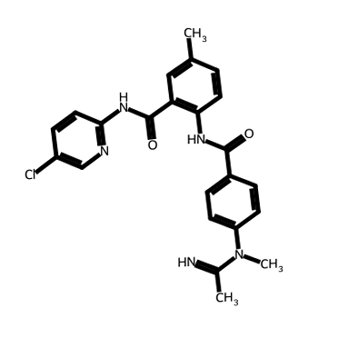 CC(=N)N(C)c1ccc(C(=O)Nc2ccc(C)cc2C(=O)Nc2ccc(Cl)cn2)cc1